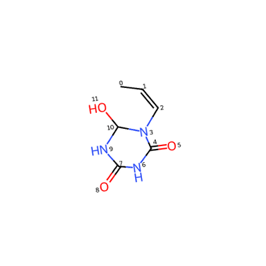 C/C=C\N1C(=O)NC(=O)NC1O